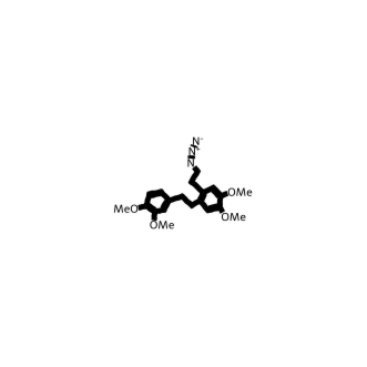 COc1ccc(CCc2cc(OC)c(OC)cc2CCN=[N+]=[N-])cc1OC